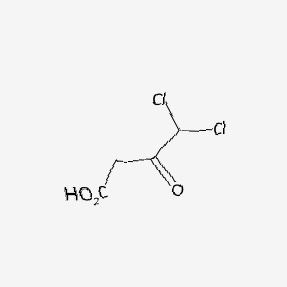 O=C(O)CC(=O)C(Cl)Cl